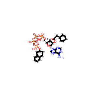 Nc1ncnc2c1ncn2[C@@H]1O[C@H](COP(=O)(O)OP(=O)(O)OP(=O)(O)OP(=O)(O)Oc2ccc3ccccc3c2)[C@@H]2OC(Cc3ccccc3)OC21